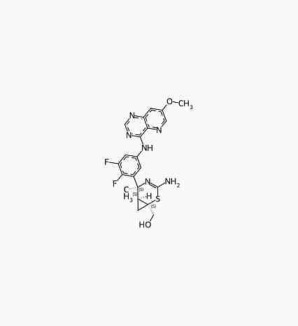 COc1cnc2c(Nc3cc(F)c(F)c([C@@]4(C)N=C(N)S[C@@]5(CO)C[C@H]54)c3)ncnc2c1